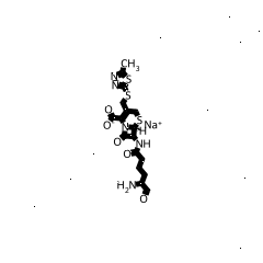 Cc1nnc(SCC2=C(C(=O)[O-])N3C(=O)C(NC(=O)CCCC(N)C=O)[C@@H]3SC2)s1.[Na+]